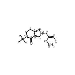 CC(C)(C)N1CCc2nn(C/C(=C/F)CN)cc2C1=O